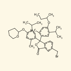 CCC(C)Oc1cc(C)c(C2(c3cc(C(C)C)c(OC4CCCCO4)cc3C)OC(=O)c3cc(CBr)ccc32)cc1C(C)C